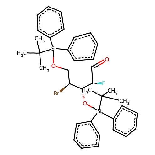 CC(C)(C)[Si](OC[C@H](Br)[C@@H](O[Si](c1ccccc1)(c1ccccc1)C(C)(C)C)[C@H](F)C=O)(c1ccccc1)c1ccccc1